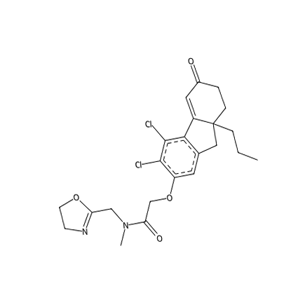 CCCC12CCC(=O)C=C1c1c(cc(OCC(=O)N(C)CC3=NCCO3)c(Cl)c1Cl)C2